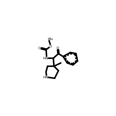 CC(C)(C)OC(=O)NC(C(=O)c1ccccc1)C1(C)CCNCC1